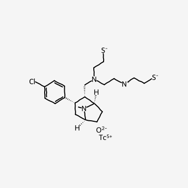 CN1[C@H]2CC[C@@H]1[C@@H](CN(CC[S-])CC[N-]CC[S-])[C@@H](c1ccc(Cl)cc1)C2.[O-2].[Tc+5]